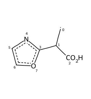 [CH2]C(C(=O)O)c1ncco1